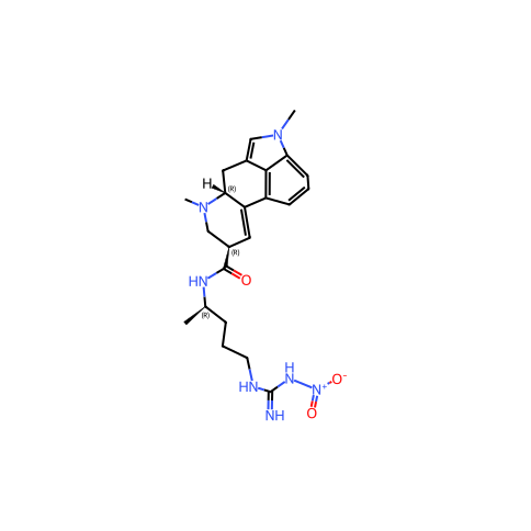 C[C@H](CCCNC(=N)N[N+](=O)[O-])NC(=O)[C@@H]1C=C2c3cccc4c3c(cn4C)C[C@H]2N(C)C1